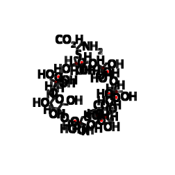 N[C@H](CSCC1O[C@@H]2O[C@@H]3C(CO)O[C@@H](O[C@@H]4C(CO)O[C@@H](O[C@@H]5C(CSC[C@@H](N)C(=O)O)O[C@@H](O[C@@H]6C(CO)O[C@H](O[C@@H]7C(CO)OC(O[C@@H]8C(CO)O[C@H](O[C@H]1[C@H](O)C2O)C(O)[C@H]8O)[C@@H](O)[C@H]7O)C(O)[C@H]6O)C(O)[C@H]5O)C(O)[C@H]4O)C(O)[C@H]3O)C(=O)O